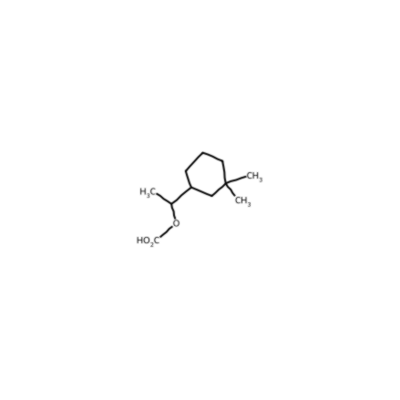 CC(OC(=O)O)C1CCCC(C)(C)C1